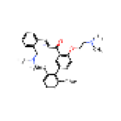 COc1cccc(OC)c1-c1ccc(OCCN(C)C)c(C(=O)/C=C/c2ccccc2CN(C)C)c1